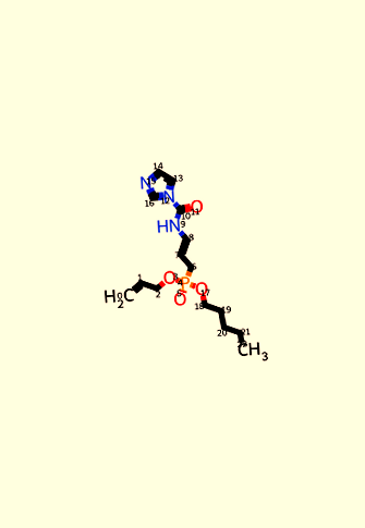 C=CCOP(=O)(CC=CNC(=O)n1ccnc1)OCCCCC